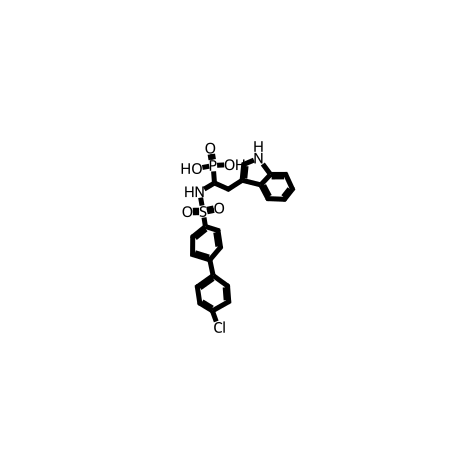 O=P(O)(O)C(Cc1c[nH]c2ccccc12)NS(=O)(=O)c1ccc(-c2ccc(Cl)cc2)cc1